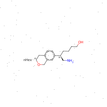 CCCCCC[C@@H]1Cc2ccc([C@H](CN)CCCCO)cc2CO1